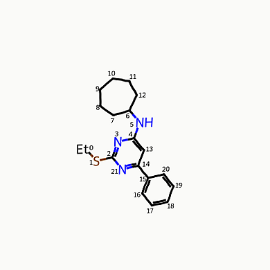 CCSc1nc(NC2CCCCCC2)cc(-c2ccccc2)n1